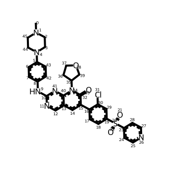 CN1CCN(c2ccc(Nc3ncc4cc(-c5ccc(S(=O)(=O)c6ccncc6)cc5Cl)c(=O)n(C5CCOC5)c4n3)cc2)CC1